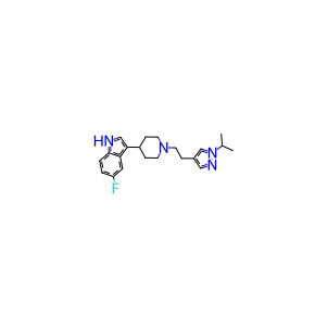 CC(C)n1cc(CCN2CCC(c3c[nH]c4ccc(F)cc34)CC2)cn1